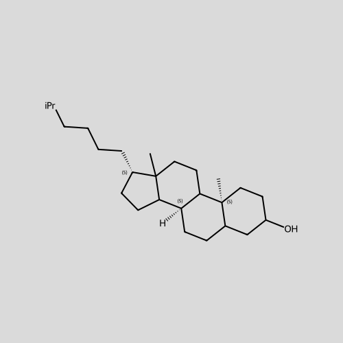 CC(C)CCCC[C@H]1CCC2[C@@H]3CCC4CC(O)CC[C@]4(C)C3CCC21C